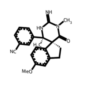 COc1ccc2c(c1)CC[C@]21C(=O)N(C)C(=N)N[C@]1(C)c1cccc(C#N)c1